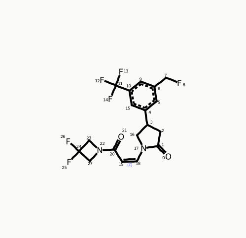 O=C1CC(c2cc(CF)cc(C(F)(F)F)c2)CN1/C=C\C(=O)N1CC(F)(F)C1